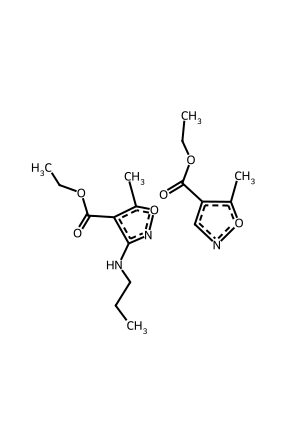 CCCNc1noc(C)c1C(=O)OCC.CCOC(=O)c1cnoc1C